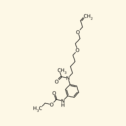 C=CCOCCOCCCCN(C(C)=O)c1cccc(NC(=O)OCC)c1